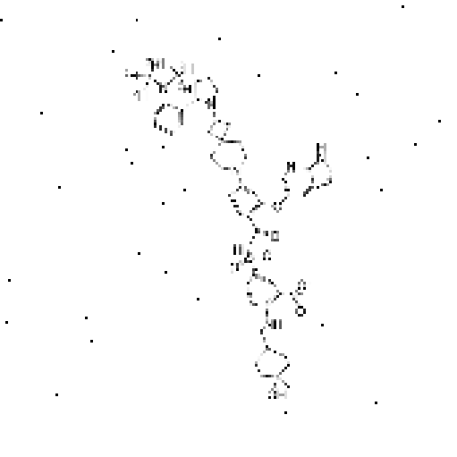 [2H]C([2H])([2H])N(c1ccccc1[C@@H]1CCCN1C1CC2(CCN(c3ccc(C(=O)NS(=O)(=O)c4ccc(NCC5CCC(C)(O)CC5)c([N+](=O)[O-])c4)c(Oc4cnc5[nH]ccc5c4)c3)CC2)C1)C([2H])([2H])[2H]